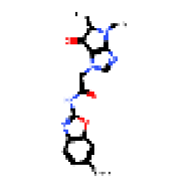 COc1ccc2nc(NC(=O)Cn3cnc4c3C(=O)C(C)N4C)oc2c1